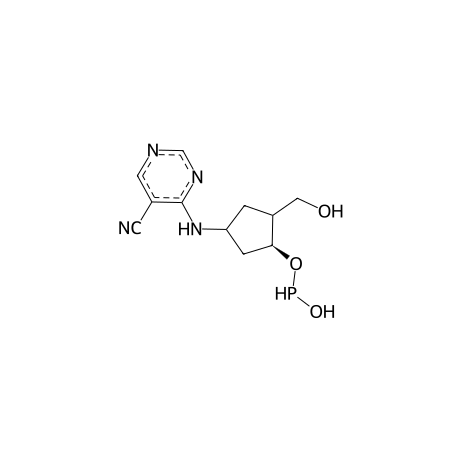 N#Cc1cncnc1NC1CC(CO)[C@@H](OPO)C1